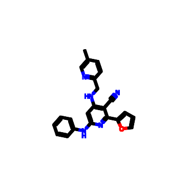 Cc1ccc(CNc2cc(Nc3ccccc3)nc(-c3ccco3)c2C#N)nc1